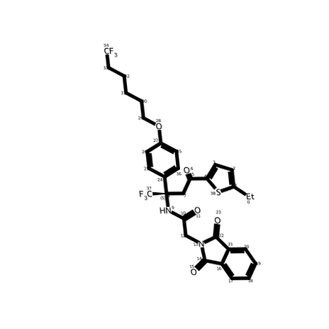 CCc1ccc(C(=O)C[C@](NC(=O)CN2C(=O)c3ccccc3C2=O)(c2ccc(OCCCCCC(F)(F)F)cc2)C(F)(F)F)s1